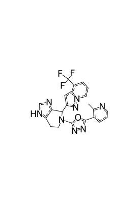 Cc1ncccc1-c1nnc(N2CCc3[nH]cnc3C2c2cc3c(C(F)(F)F)cccn3n2)o1